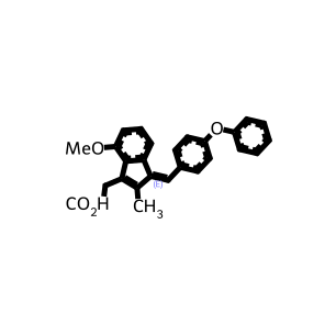 COc1cccc2c1C(CC(=O)O)=C(C)/C2=C/c1ccc(Oc2ccccc2)cc1